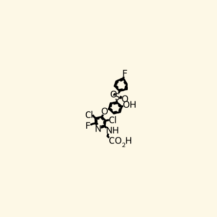 O=C(O)CNc1nc(F)c(Cl)c(Oc2ccc(O)c(S(=O)(=O)c3ccc(F)cc3)c2)c1Cl